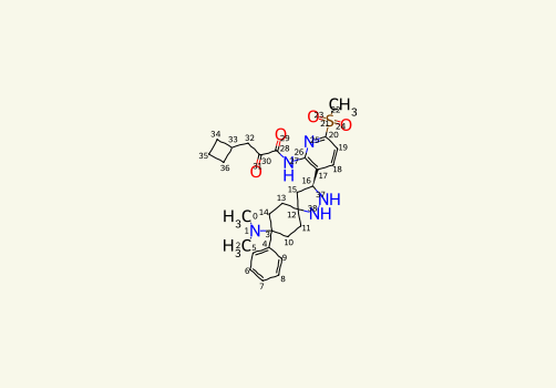 CN(C)C1(c2ccccc2)CCC2(CC1)C[C@@H](c1ccc(S(C)(=O)=O)nc1NC(=O)C(=O)CC1CCC1)NN2